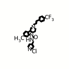 Cc1ccc2c3c(n(C(=O)NCc4ccnc(Cl)c4)c2c1)CCN(CC=Cc1ccc(C(F)(F)F)cc1)C3